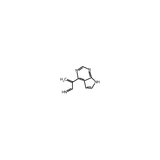 C=C(C=N)c1ncnc2[nH]ccc12